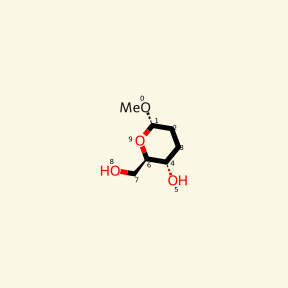 CO[C@@H]1CC[C@H](O)[C@@H](CO)O1